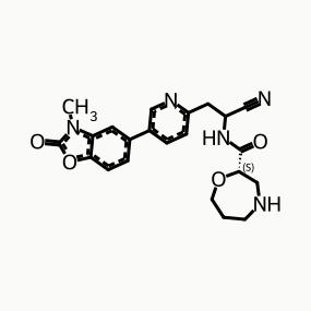 Cn1c(=O)oc2ccc(-c3ccc(CC(C#N)NC(=O)[C@@H]4CNCCCO4)nc3)cc21